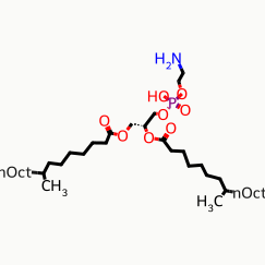 CCCCCCCCC(C)CCCCCCC(=O)OC[C@H](COP(=O)(O)OCCN)OC(=O)CCCCCCC(C)CCCCCCCC